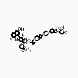 CCc1c(F)ccc2cc(O)cc(-c3ncc4c(N5CCC[C@@](C)(O)C5)nc(OCC5(CN6CCC7(CC6)CC(N6CCN(c8ccc9c(c8)CN([C@H]8CCC(=O)NC8=O)C9=O)CC6)C7)CC5)nc4c3F)c12